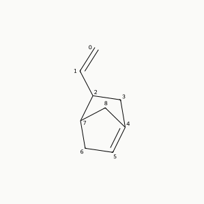 C=CC1CC2=CCC1C2